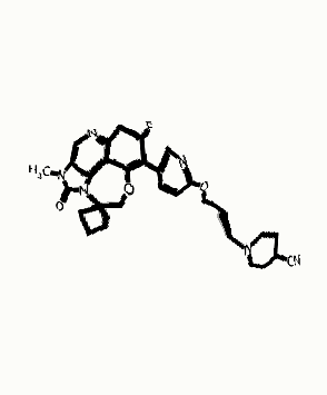 Cn1c(=O)n2c3c4c(c(-c5ccc(OCCCN6CCC(C#N)CC6)nc5)c(F)cc4ncc31)OCC21CCC1